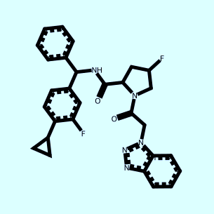 O=C(NC(c1ccccc1)c1ccc(C2CC2)c(F)c1)C1CC(F)CN1C(=O)Cn1nnc2ccccc21